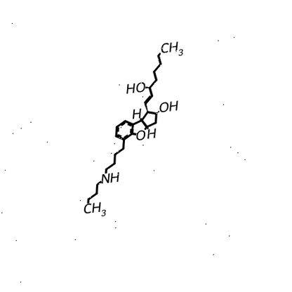 CCCCC[C@H](O)/C=C/[C@@H]1[C@H]2c3cccc(CCCCNCCCC)c3O[C@H]2C[C@H]1O